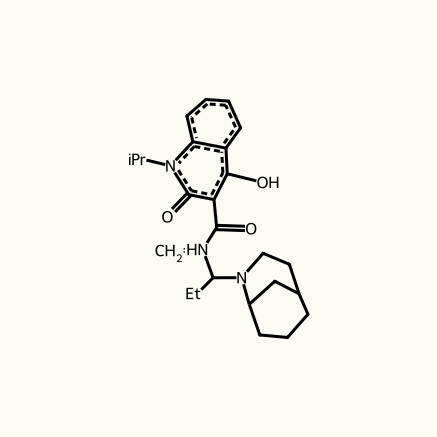 CCC(NC(=O)c1c(O)c2ccccc2n(C(C)C)c1=O)N1CCC2CCCC1C2.[CH2]